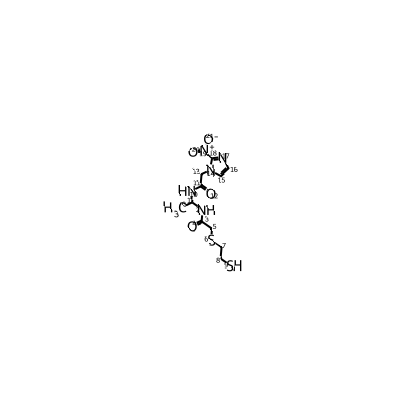 CC(NC(=O)CSCCS)NC(=O)Cn1ccnc1[N+](=O)[O-]